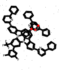 Fc1cc(F)cc(-c2cc(-n3c4ccc(-c5cccc(-c6ccccc6)n5)cc4c4cc(-c5cccc(-c6ccccc6)n5)ccc43)c(-n3c4ccc(-c5cccc(-c6ccccc6)n5)cc4c4cc(-c5cccc(-c6ccccc6)n5)ccc43)cc2C(F)(F)F)c1